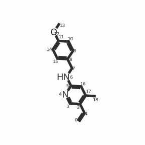 C=Cc1cnc(NCc2ccc(OC)cc2)cc1C